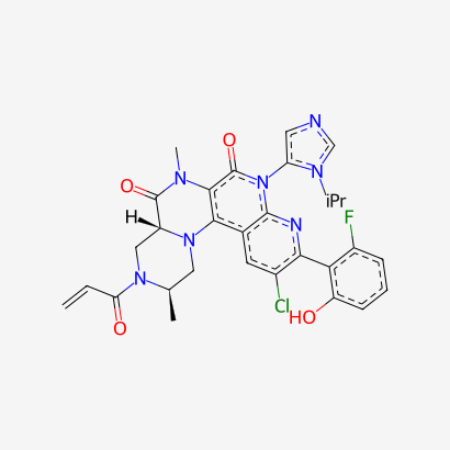 C=CC(=O)N1C[C@@H]2C(=O)N(C)c3c(c4cc(Cl)c(-c5c(O)cccc5F)nc4n(-c4cncn4C(C)C)c3=O)N2C[C@H]1C